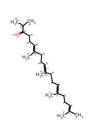 CC(C)=CCC/C(C)=C/CC/C(C)=C/CC/C(C)=C/CCC(=O)C(C)C